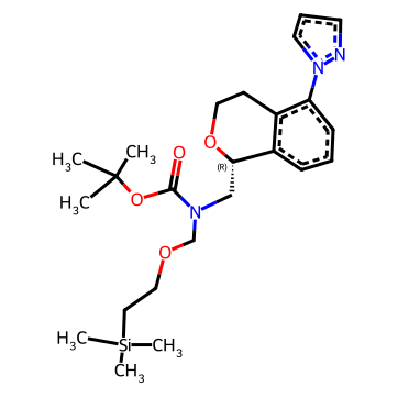 CC(C)(C)OC(=O)N(COCC[Si](C)(C)C)C[C@@H]1OCCc2c1cccc2-n1cccn1